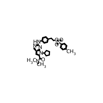 Cc1ccc(S(=O)(=O)OCCc2ccc(Nc3ncc4cc(C(=O)N(C)C)n(C5CCCC5)c4n3)cc2)cc1